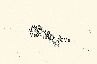 COC(=O)c1cccc(Nc2cccc(NC(=O)CCc3cc(OC)c(OC)c(OC)c3)c2)c1